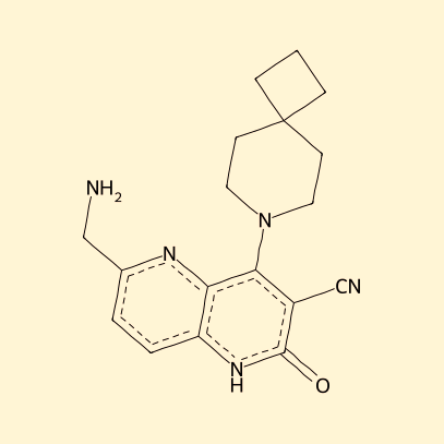 N#Cc1c(N2CCC3(CCC3)CC2)c2nc(CN)ccc2[nH]c1=O